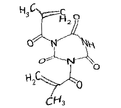 C=C(C)C(=O)n1c(=O)[nH]c(=O)n(C(=O)C(=C)C)c1=O